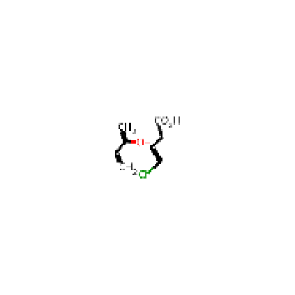 C=CC(=C)O.O=C(O)CC=CCl